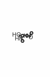 O=C(c1ccccc1)N1CCN(c2ccc(CO)c(Nc3ccccc3)c2)CC1